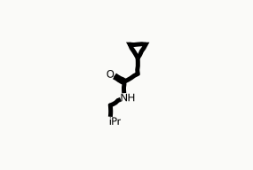 CC(C)CNC(=O)CC1CC1